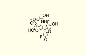 CC(=O)C(CO)NCc1cc(-c2c3cc(F)c(=O)cc-3oc3cc(O)c(F)cc23)ccc1N(CC(=O)O)CC(=O)O